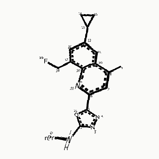 CCCNc1nnc(-c2cc(C)c3cc(C4CC4)cc(CF)c3n2)o1